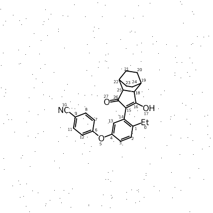 CCc1ccc(Oc2ccc(C#N)cc2)cc1C1=C(O)C2C3CCC(CC3)C2C1=O